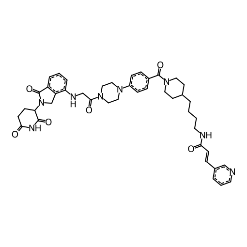 O=C(/C=C/c1cccnc1)NCCCCC1CCN(C(=O)c2ccc(N3CCN(C(=O)CNc4cccc5c4CN(C4CCC(=O)NC4=O)C5=O)CC3)cc2)CC1